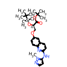 Cn1nccc1Nc1ccc2cc(OC[C@@H](O[Si](C)(C)C(C)(C)C)C(=O)OC(C)(C)C)ccc2n1